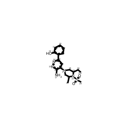 CC1CN(c2cc(-c3ccccc3O)nnc2N)CC(CI)N1S(C)(=O)=O